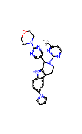 FC(F)(F)c1ccnc(N2CCc3c([nH]c4ccc(-n5cccc5)cc34)C2c2cnc(N3CCOCC3)nc2)n1